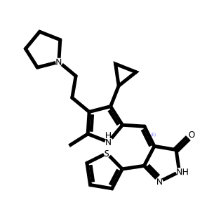 Cc1[nH]c(/C=C2/C(=O)NN=C2c2cccs2)c(C2CC2)c1CCN1CCCC1